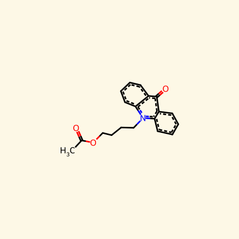 CC(=O)OCCCCn1c2ccccc2c(=O)c2ccccc21